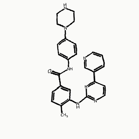 Cc1ccc(C(=O)Nc2ccc(N3CCNCC3)cc2)cc1Nc1nccc(-c2cccnc2)n1